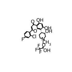 CN1CC[C@H](c2c(O)cc(O)c3c(=O)cc(-c4ccc(F)cc4Cl)oc23)[C@H](O)C1.O=C(O)C(F)(F)F